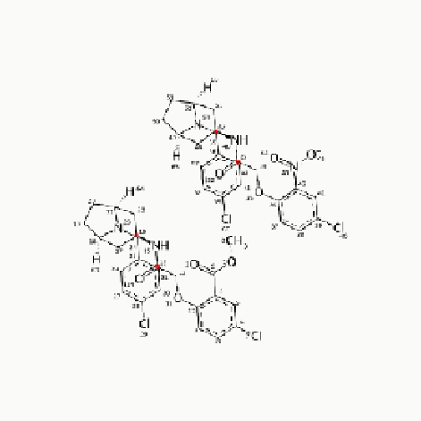 COC(=O)c1cc(Cl)ccc1OCC(=O)N[C@H]1C[C@H]2CC[C@@H](C1)N2Cc1ccc(Cl)cc1.O=C(COc1ccc(Cl)cc1[N+](=O)[O-])N[C@H]1C[C@H]2CC[C@@H](C1)N2Cc1ccc(Cl)cc1